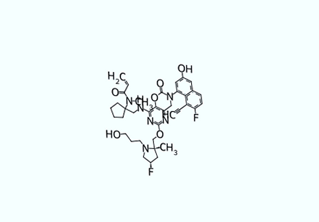 C#Cc1c(F)ccc2cc(O)cc(N3Cc4nc(OC[C@]5(C)C[C@@H](F)CN5CCCO)nc(NCC5(N(C)C(=O)C=C)CCCC5)c4OC3=O)c12